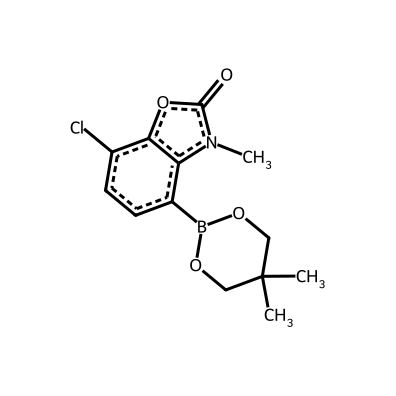 Cn1c(=O)oc2c(Cl)ccc(B3OCC(C)(C)CO3)c21